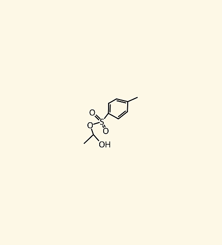 Cc1ccc(S(=O)(=O)OC(C)O)cc1